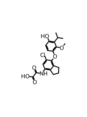 COc1c(Oc2c(Cl)cc(NC(=O)C(=O)O)c3c2CCC3)ccc(O)c1C(C)C